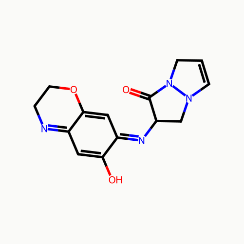 O=C1C(N=C2C=C3OCCN=C3C=C2O)CN2C=CCN12